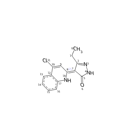 CCC1=NNC(=O)/C1=C1/C=C(Cl)c2ccccc2N1